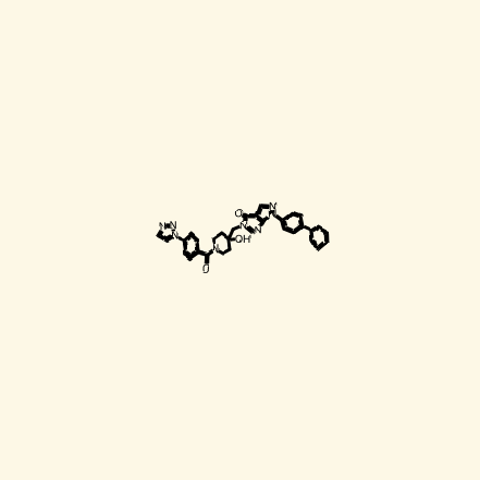 O=C(c1ccc(-n2ccnn2)cc1)N1CCC(O)(Cn2cnc3c(cnn3-c3ccc(-c4ccccc4)cc3)c2=O)CC1